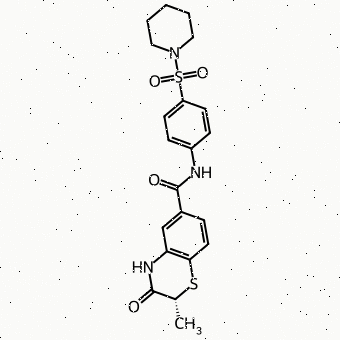 C[C@H]1Sc2ccc(C(=O)Nc3ccc(S(=O)(=O)N4CCCCC4)cc3)cc2NC1=O